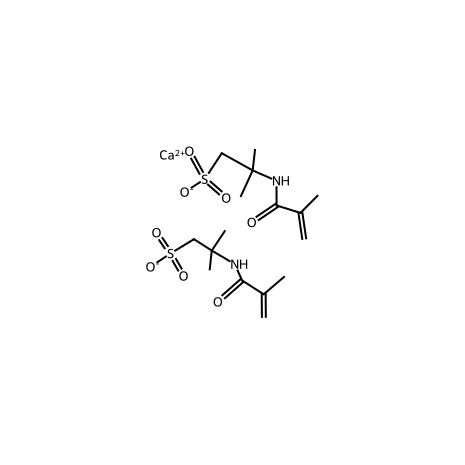 C=C(C)C(=O)NC(C)(C)CS(=O)(=O)[O-].C=C(C)C(=O)NC(C)(C)CS(=O)(=O)[O-].[Ca+2]